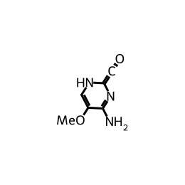 COC1=CNC(=C=O)N=C1N